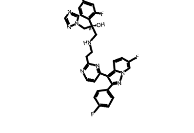 O[C@@](CNCCc1nccc(-c2c(-c3ccc(F)cc3)nn3cc(F)ccc23)n1)(Cn1cncn1)c1ccc(F)cc1F